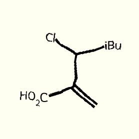 C=C(C(=O)O)C(Cl)C(C)CC